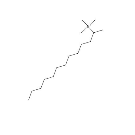 CCCCCCCCCCCC(C)[N+](C)(C)C